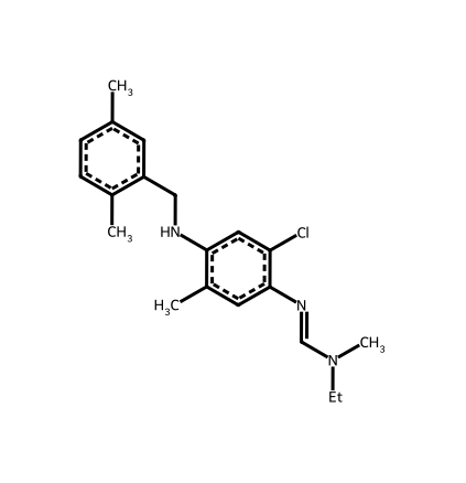 CCN(C)C=Nc1cc(C)c(NCc2cc(C)ccc2C)cc1Cl